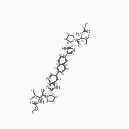 COC(=O)N[C@H](C(=O)N1CCC[C@H]1c1ncc(-c2ccc3cc(-c4cnc5nc([C@@H]6CCCN6C(=O)[C@@H](NC(=O)OC)C(C)C)[nH]c5c4)ccc3c2)[nH]1)C(C)C